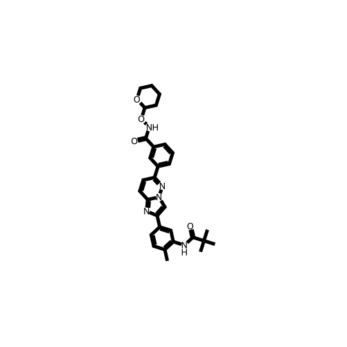 Cc1ccc(-c2cn3nc(-c4cccc(C(=O)NOC5CCCCO5)c4)ccc3n2)cc1NC(=O)C(C)(C)C